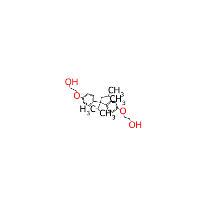 CC(C)CC(c1ccc(OCCO)cc1)(c1ccc(OCCO)cc1)C(C)C